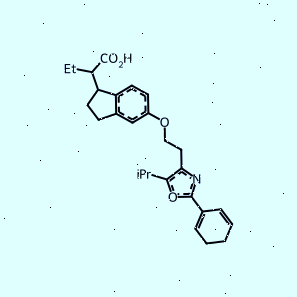 CCC(C(=O)O)C1CCc2cc(OCCc3nc(C4=CCCC=C4)oc3C(C)C)ccc21